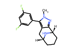 Cn1nc2c(c1-c1cc(F)cc(F)c1)C[C@H]1CCC[C@@H]2N1